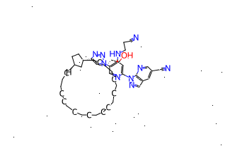 N#CCCNc1cc(-n2ncc3cc(C#N)cnc32)ncc1-n1cc([C@@]23CC[C@H](CCO)CCCCCCCCCCCCCCCCC[C@@H](CC2)C3)nn1